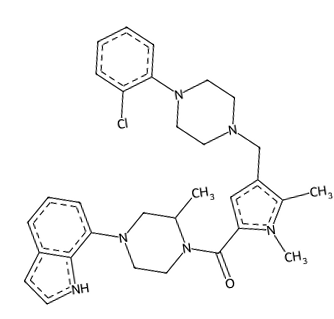 Cc1c(CN2CCN(c3ccccc3Cl)CC2)cc(C(=O)N2CCN(c3cccc4cc[nH]c34)CC2C)n1C